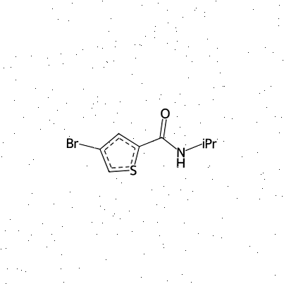 CC(C)NC(=O)c1cc(Br)cs1